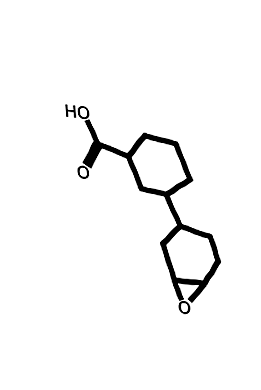 O=C(O)C1CCCC(C2CCC3OC3C2)C1